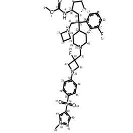 COC(=O)N[C@H]1CCC[C@@H]1[C@](CN1CCC1)(c1cccc(F)c1)C1CCN(CC2(F)CN(c3ccc(S(=O)(=O)c4cnn(C)c4)cc3)C2)CC1